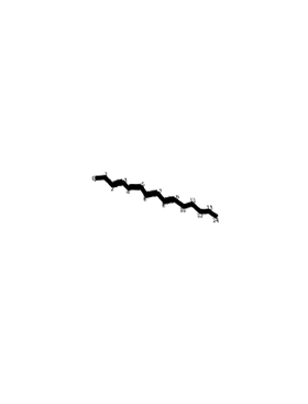 [CH2]CC=CC=CC=CC=CCCCCC